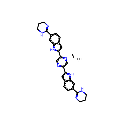 CC(=O)O.c1cc2cc(-c3cnc(-c4cc5ccc(C6=NCCCN6)cc5[nH]4)cn3)[nH]c2cc1C1=NCCCN1